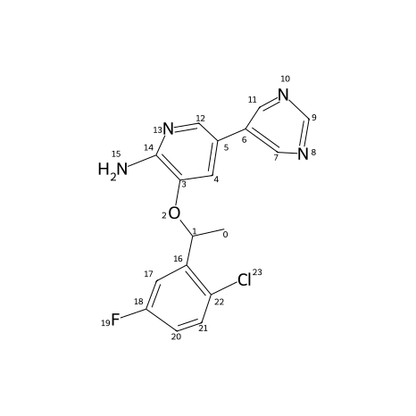 CC(Oc1cc(-c2cncnc2)cnc1N)c1cc(F)ccc1Cl